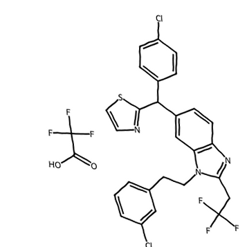 FC(F)(F)Cc1nc2ccc(C(c3ccc(Cl)cc3)c3nccs3)cc2n1CCc1cccc(Cl)c1.O=C(O)C(F)(F)F